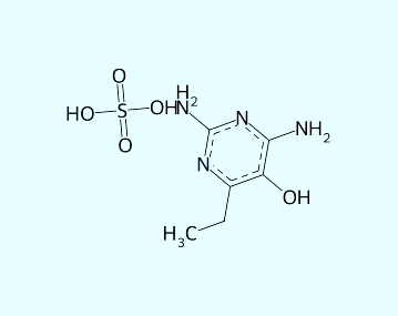 CCc1nc(N)nc(N)c1O.O=S(=O)(O)O